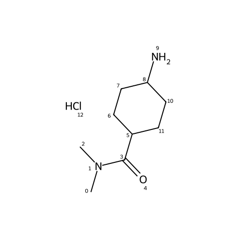 CN(C)C(=O)C1CCC(N)CC1.Cl